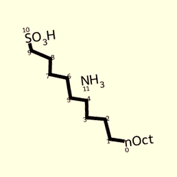 CCCCCCCCCCCCCCCCCS(=O)(=O)O.N